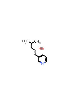 Br.CC(C)CCCc1cccnc1